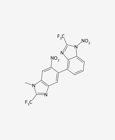 Cn1c(C(F)(F)F)nc2cc(-c3cccc4c3nc(C(F)(F)F)n4[N+](=O)[O-])c([N+](=O)[O-])cc21